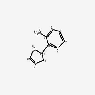 Nc1nccnc1N1CN=CO1